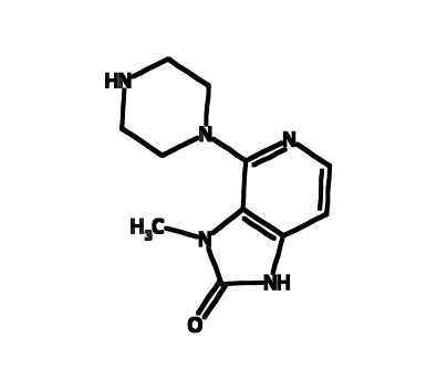 Cn1c(=O)[nH]c2ccnc(N3CCNCC3)c21